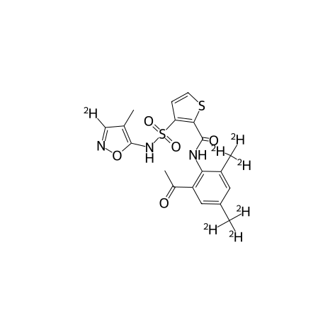 [2H]c1noc(NS(=O)(=O)c2ccsc2C(=O)Nc2c(C(C)=O)cc(C([2H])([2H])[2H])cc2C([2H])([2H])[2H])c1C